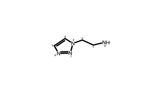 [NH]CCn1ccnn1